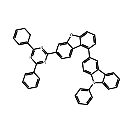 C1=CCCC(c2nc(-c3ccccc3)nc(-c3ccc4c(c3)oc3cccc(-c5ccc6c(c5)c5ccccc5n6-c5ccccc5)c34)n2)=C1